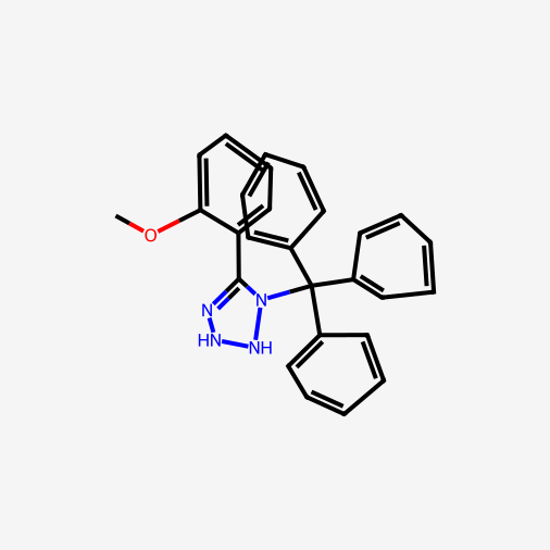 COc1ccccc1C1=NNNN1C(c1ccccc1)(c1ccccc1)c1ccccc1